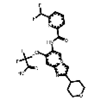 O=C(Nc1cn2cc(C3CCOCC3)nc2cc1Cl)c1cccc(C(F)F)n1.O=C(O)C(F)(F)F